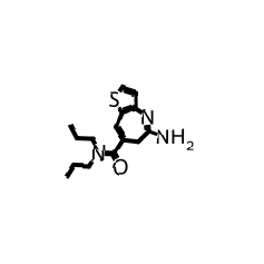 CCCN(CCC)C(=O)C1=Cc2sccc2N=C(N)C1